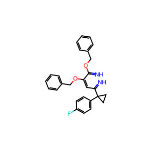 N=C(OCc1ccccc1)/C(=C\C(=N)C1(c2ccc(F)cc2)CC1)OCc1ccccc1